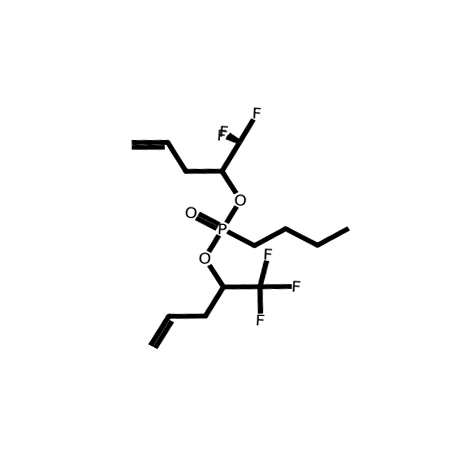 C=CCC(OP(=O)(CCCC)OC(CC=C)C(F)(F)F)C(F)(F)F